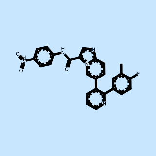 Cc1cc(-c2ncccc2-c2ccc3ncc(C(=O)Nc4ccc([SH](=O)=O)cc4)n3c2)ccc1F